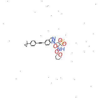 CC1(c2ccc(C#Cc3ccc4c(cnn4CCC(C)(C(=O)NO[C@H]4CCCCO4)S(C)(=O)=O)c3)cc2)CC1